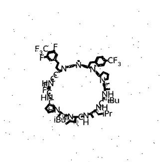 CC[C@H](C)[C@H]1C(C)NC2(CCCC2)CNCC(F)(F)NCCC(CCc2cc(F)c(C(F)(F)F)c(F)c2)=NC=CN(C)C=C(Cc2ccc(C(F)(F)F)cc2)N(C)C=C2CCCN2[C@@H](C)C(C)N[C@@H]([C@@H](C)CC)CN[C@@H](CC(C)C)C(C)NCC2[C@H](C)C(C)N21